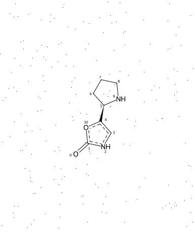 O=c1[nH]cc([C@H]2CCCN2)o1